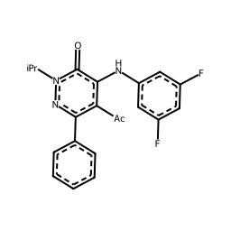 CC(=O)c1c(-c2ccccc2)nn(C(C)C)c(=O)c1Nc1cc(F)cc(F)c1